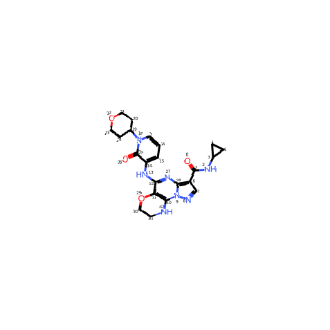 O=C(NC1CC1)c1cnn2c3c(c(Nc4cccn(C5CCOCC5)c4=O)nc12)OCCN3